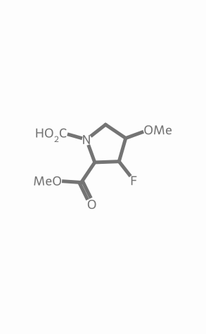 COC(=O)C1C(F)C(OC)CN1C(=O)O